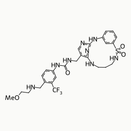 COCCNCc1ccc(NC(=O)NCc2cnc3nc2NCCCNS(=O)(=O)c2cccc(c2)N3)cc1C(F)(F)F